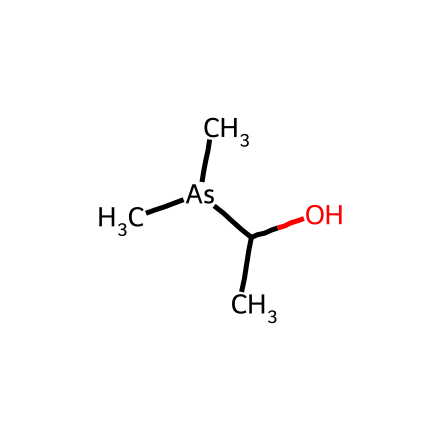 CC(O)[As](C)C